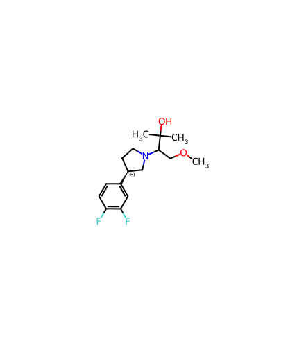 COCC(N1CC[C@H](c2ccc(F)c(F)c2)C1)C(C)(C)O